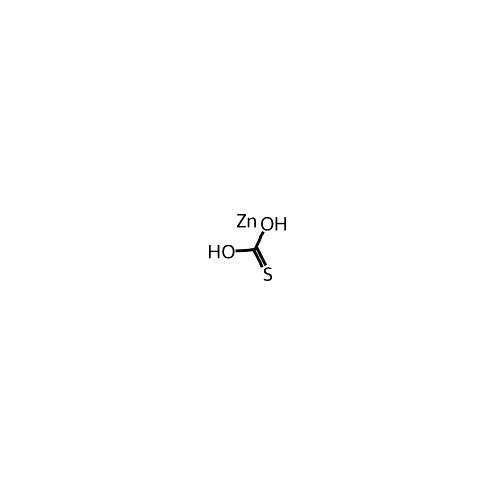 OC(O)=S.[Zn]